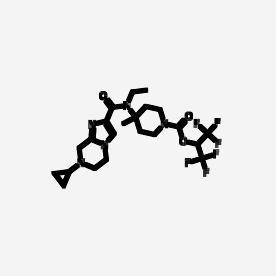 CCN(C(=O)c1cn2c(n1)CN(C1CC1)CC2)C1(C)CCN(C(=O)OC(C(F)(F)F)C(F)(F)F)CC1